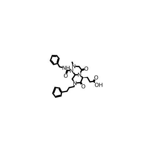 CN1CC(=O)N2C(CN(CCCc3ccccc3)C(=O)[C@@H]2CCC(=O)O)N1C(=O)NCc1ccccc1